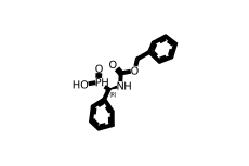 O=C(N[C@@H](c1ccccc1)[PH](=O)O)OCc1ccccc1